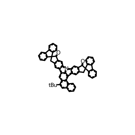 CC(C)(C)c1cc2ccccc2c2c1cc1c3cc4c(cc3n3c5cc6c(cc5c2c13)CC1(C6=O)c2ccccc2-c2ccccc21)C(=O)C1(C4)c2ccccc2-c2ccccc21